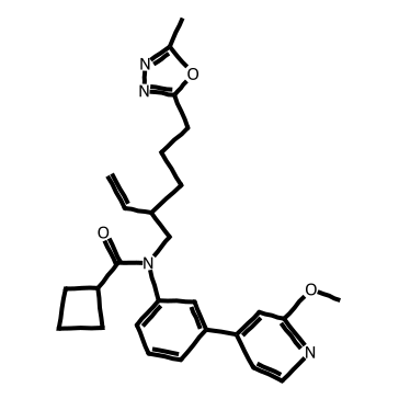 C=CC(CCCc1nnc(C)o1)CN(C(=O)C1CCC1)c1cccc(-c2ccnc(OC)c2)c1